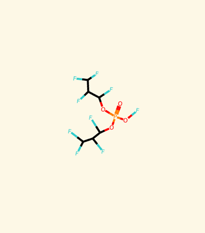 O=P(OF)(OC(F)C(F)C(F)F)OC(F)C(F)C(F)F